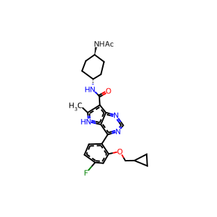 CC(=O)N[C@H]1CC[C@H](NC(=O)c2c(C)[nH]c3c(-c4ccc(F)cc4OCC4CC4)ncnc23)CC1